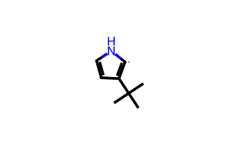 CC(C)(C)c1[c][nH]cc1